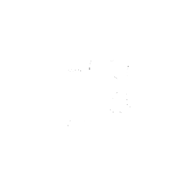 CNC(=O)Oc1cccc2sc3ncnc(O[C@H]4CC[C@H](N(C)C)CC4)c3c12